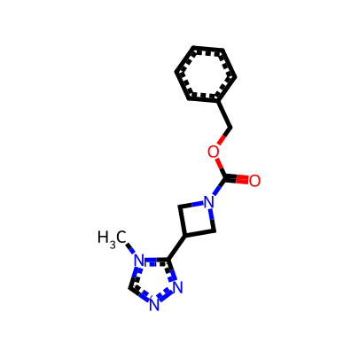 Cn1cnnc1C1CN(C(=O)OCc2ccccc2)C1